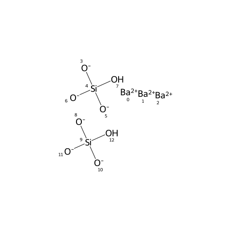 [Ba+2].[Ba+2].[Ba+2].[O-][Si]([O-])([O-])O.[O-][Si]([O-])([O-])O